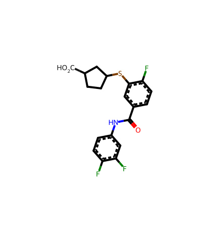 O=C(Nc1ccc(F)c(F)c1)c1ccc(F)c(SC2CCC(C(=O)O)C2)c1